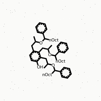 CCCCCCCCC(OC(C)Cc1ccc(O)c(CC(C)OC(CCCCCCCC)c2ccccc2)c1CC(C)OC(CCCCCCCC)c1ccccc1)c1ccccc1